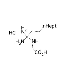 CCCCCCCCCC(N)(N)NCC(=O)O.Cl